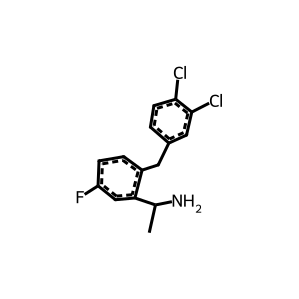 CC(N)c1cc(F)ccc1Cc1ccc(Cl)c(Cl)c1